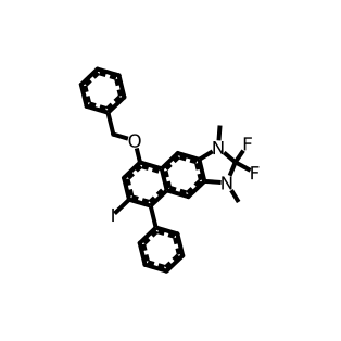 CN1c2cc3c(OCc4ccccc4)cc(I)c(-c4ccccc4)c3cc2N(C)C1(F)F